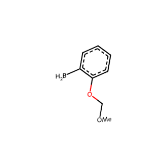 Bc1ccccc1OCOC